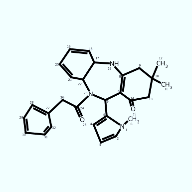 Cn1cccc1C1C2=C(CC(C)(C)CC2=O)NC2C=CC=CC2N1C(=O)Cc1ccccc1